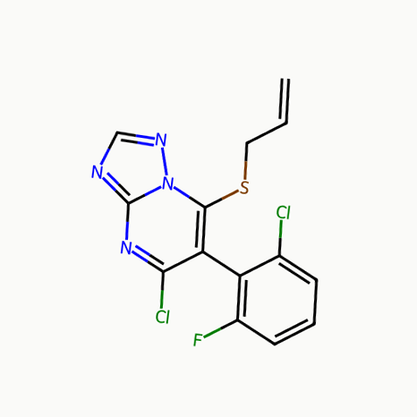 C=CCSc1c(-c2c(F)cccc2Cl)c(Cl)nc2ncnn12